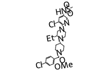 CCC1CN(c2ncc(NS(C)(=O)=O)cc2Cl)CCN1C1CCN(C(=O)c2ccc(Cl)cc2OC)CC1